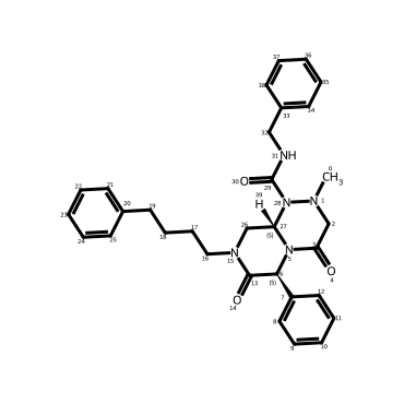 CN1CC(=O)N2[C@@H](c3ccccc3)C(=O)N(CCCCc3ccccc3)C[C@@H]2N1C(=O)NCc1ccccc1